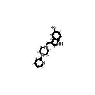 Brc1ccc2[nH]cc(CN3CCN(c4ccccn4)CC3)c2c1